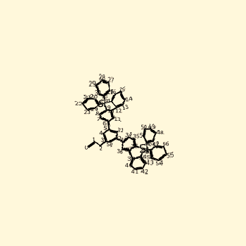 C=CCc1cc(-c2ccc3c(c2)-c2ccccc2[Si]3(c2ccccc2)c2ccccc2)cc(-c2ccc3c(c2)-c2ccccc2[Si]3(c2ccccc2)c2ccccc2)c1